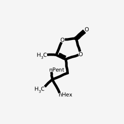 CCCCCCC(C)(CCCCC)Cc1oc(=O)oc1C